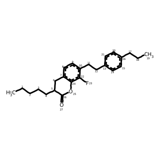 CCCCCC1Cc2ccc(CCc3ccc(CCC)cc3)c(F)c2OC1=O